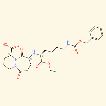 CCOC(=O)[C@H](CCCCNC(=O)OCc1ccccc1)N[C@H]1CCC(=O)N2CCC[C@@H](C(=O)O)N2C1=O